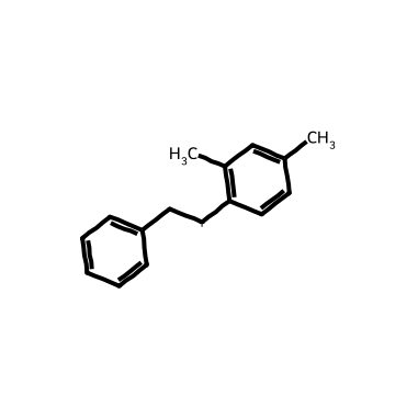 Cc1ccc([CH]Cc2ccccc2)c(C)c1